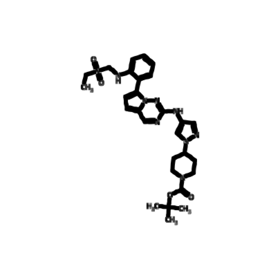 CCS(=O)(=O)CNc1ccccc1-c1ccc2cnc(Nc3cnn(C4CCN(C(=O)OC(C)(C)C)CC4)c3)nn12